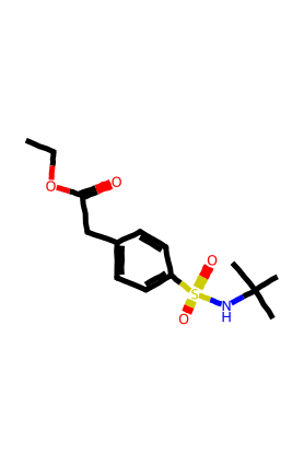 CCOC(=O)Cc1ccc(S(=O)(=O)NC(C)(C)C)cc1